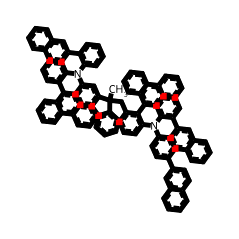 CC1(Cc2cccc(N(c3ccc(-c4ccc5ccccc5c4)cc3)c3ccccc3-c3ccc4ccccc4c3)c2-c2cc3ccccc3c3ccccc23)c2ccccc2-c2ccc(N(c3ccccc3-c3ccc4ccccc4c3)c3ccccc3-c3cc4ccccc4c4ccccc34)cc21